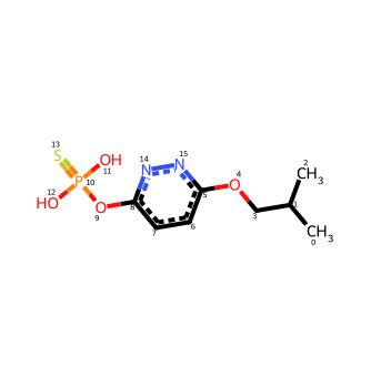 CC(C)COc1ccc(OP(O)(O)=S)nn1